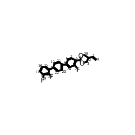 C=CC1COC(c2ccc(-c3ccc(-c4cccc(F)c4F)cc3)cc2F)OC1